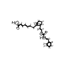 O=C(O)CCCCCCC1C2CCC(O2)C1CCOC(=S)NCc1ccccc1